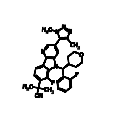 Cc1nnn(C)c1-c1cnc2c3ccc(C(C)(C)O)c(F)c3n([C@H](c3ccccc3F)C3CCOCC3)c2c1